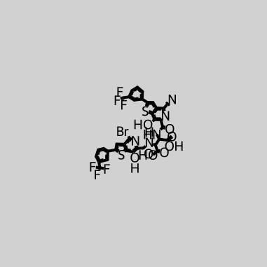 N#Cc1nc(C(=O)NC(C(=O)O)C(NC(=O)c2nc(Br)c3cc(-c4cccc(C(F)(F)F)c4)sc3c2O)C(=O)O)c(O)c2sc(-c3cccc(C(F)(F)F)c3)cc12